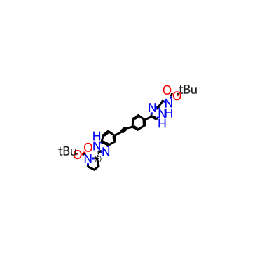 CC(C)(C)OC(=O)NCc1nc(-c2ccc(C#Cc3ccc4[nH]c([C@@H]5CCCN5C(=O)OC(C)(C)C)nc4c3)cc2)c[nH]1